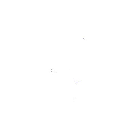 C=C(NCC(C)C)c1ccncc1